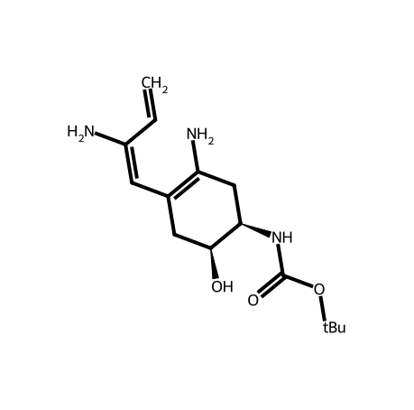 C=C/C(N)=C\C1=C(N)C[C@@H](NC(=O)OC(C)(C)C)[C@@H](O)C1